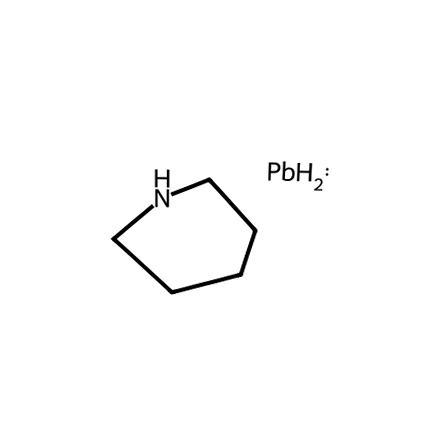 C1CCNCC1.[PbH2]